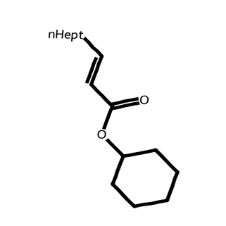 CCCCCCCC=CC(=O)OC1CCCCC1